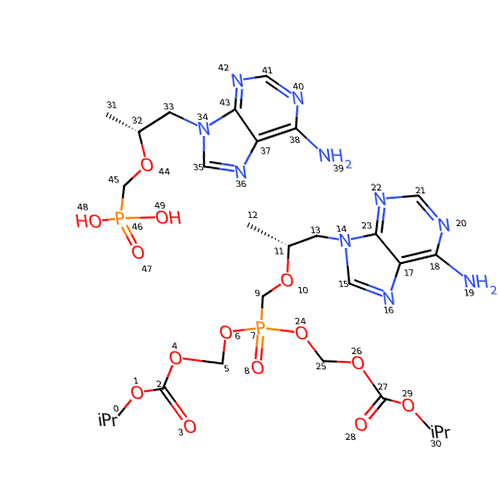 CC(C)OC(=O)OCOP(=O)(CO[C@H](C)Cn1cnc2c(N)ncnc21)OCOC(=O)OC(C)C.C[C@H](Cn1cnc2c(N)ncnc21)OCP(=O)(O)O